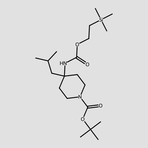 CC(C)CC1(NC(=O)OCC[Si](C)(C)C)CCN(C(=O)OC(C)(C)C)CC1